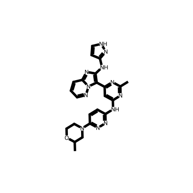 Cc1nc(Nc2ccc(N3CCOC(C)C3)nn2)cc(-c2c(Nc3cc[nH]n3)nc3cccnn23)n1